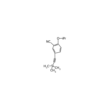 CC(C)Oc1ccc(C#C[Si](C)(C)C)cc1C#N